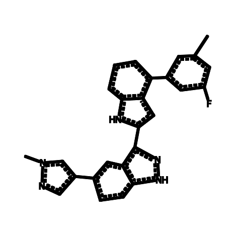 Cc1cc(F)cc(-c2cccc3[nH]c(-c4n[nH]c5ccc(-c6cnn(C)c6)cc45)cc23)c1